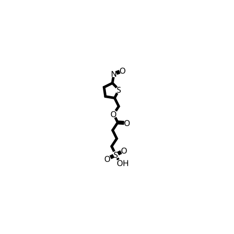 O=NC1CCC(COC(=O)CCCS(=O)(=O)O)S1